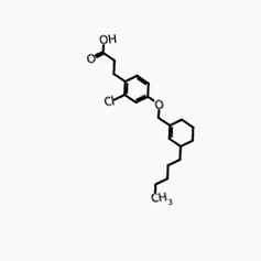 CCCCCC1C=C(COc2ccc(CCC(=O)O)c(Cl)c2)CCC1